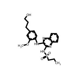 CCCS(=O)(=O)Nc1nc2ccccc2nc1Nc1ccc(CCCO)cc1OC